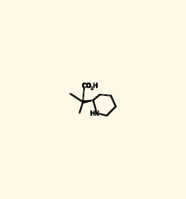 CC(C)(C(=O)O)[C@H]1CCCCN1